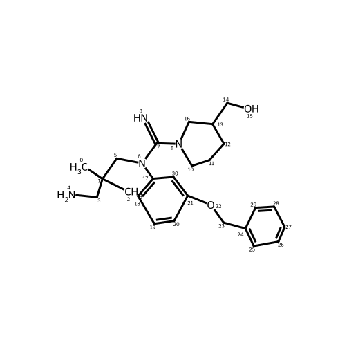 CC(C)(CN)CN(C(=N)N1CCCC(CO)C1)c1cccc(OCc2ccccc2)c1